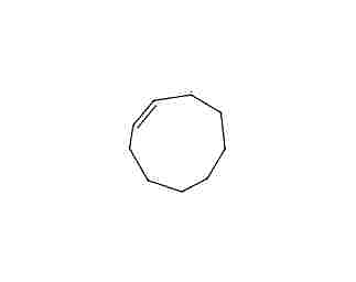 [CH]1C=CCCCCCC1